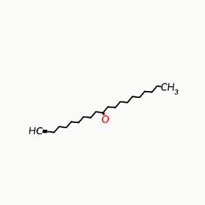 C#CCCCCCCCCC(=O)CCCCCCCCCC